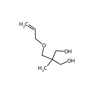 C=CCOCC(C)(CO)CO